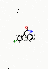 O=c1cc(-c2ccc(F)cc2)c2ccccc2[nH]1